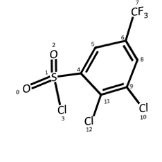 O=S(=O)(Cl)c1cc(C(F)(F)F)cc(Cl)c1Cl